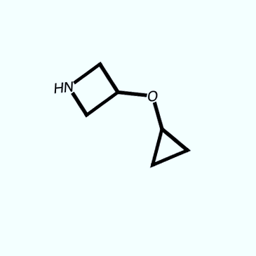 C1CC1OC1CNC1